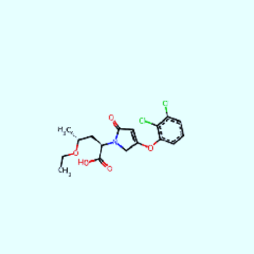 CCO[C@H](C)C[C@H](C(=O)O)N1CC(Oc2cccc(Cl)c2Cl)=CC1=O